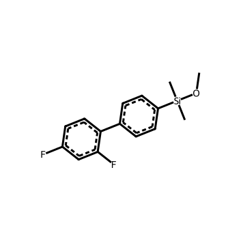 CO[Si](C)(C)c1ccc(-c2ccc(F)cc2F)cc1